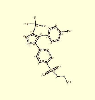 O=S(=O)(CCO)c1ccc(-c2[nH]nc(C(F)(F)F)c2-c2ccc(F)cc2)cc1